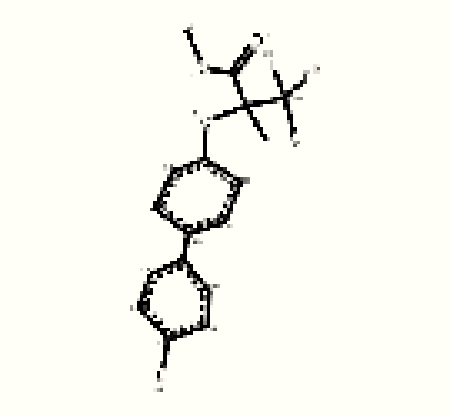 COC(=O)C(C)(Oc1ccc(-c2ccc(Cl)cc2)cc1)C(F)(F)F